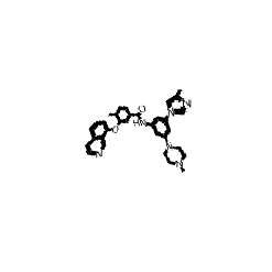 Cc1cn(-c2cc(NC(=O)c3ccc(C)c(Oc4cccc5ccncc45)c3)cc(N3CCN(C)CC3)c2)cn1